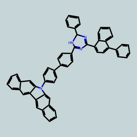 c1ccc(-c2ccc(C3=NC(c4ccccc4)NC(c4ccc(-c5ccc(-n6c7cc8ccccc8cc7c7cc8ccccc8cc76)cc5)cc4)=N3)c3ccccc23)cc1